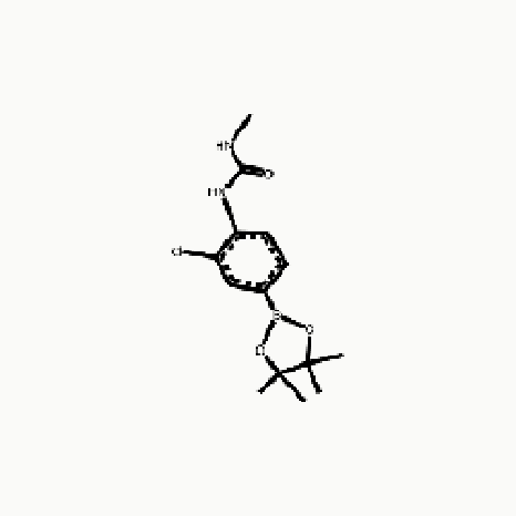 CNC(=O)Nc1ccc(B2OC(C)(C)C(C)(C)O2)cc1Cl